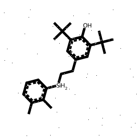 Cc1cccc([SiH2]CCc2cc(C(C)(C)C)c(O)c(C(C)(C)C)c2)c1C